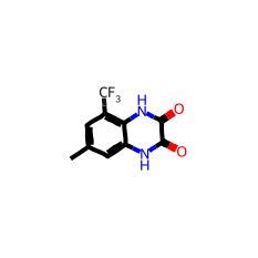 Cc1cc(C(F)(F)F)c2[nH]c(=O)c(=O)[nH]c2c1